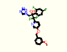 COc1cccc(COc2ccc(C(F)(F)C(O)(Cn3cnnn3)c3ccc(F)cc3F)nc2)c1